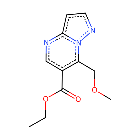 CCOC(=O)c1cnc2ccnn2c1COC